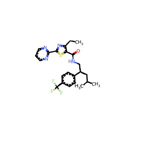 CCc1nc(-c2ncccn2)sc1C(=O)NCC(CC(C)C)c1ccc(C(F)(F)F)cc1